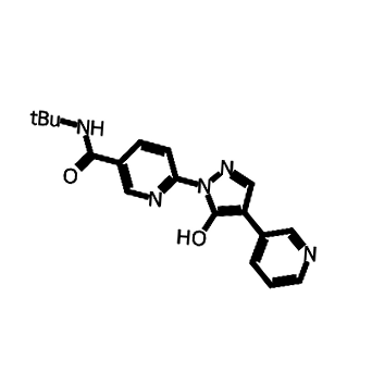 CC(C)(C)NC(=O)c1ccc(-n2ncc(-c3cccnc3)c2O)nc1